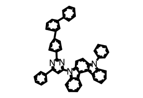 c1ccc(-c2cccc(-c3ccc(-c4nc(-c5ccccc5)cc(-n5c6ccccc6c6c7c8ccccc8n(-c8ccccc8)c7ccc65)n4)cc3)c2)cc1